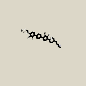 BCOc1ccc(-c2ccc(-c3ccc(C4CCC(CC/C=C/C)CO4)c(F)c3F)cc2)c(F)c1F